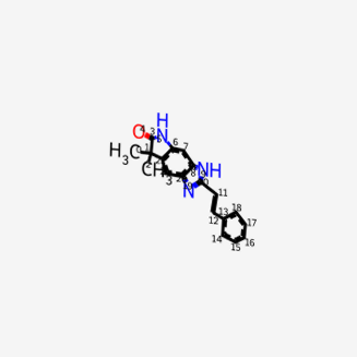 CC1(C)C(=O)Nc2cc3[nH]c(C=Cc4ccccc4)nc3cc21